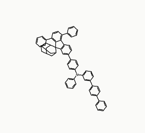 c1ccc(-c2ccc(-c3cccc(N(c4ccccc4)c4ccc(-c5ccc6c(c5)C5(c7c(-c8ccccc8)ccc(-c8ccccc8)c7-6)C6CC7CC(C6)CC5C7)cc4)c3)cc2)cc1